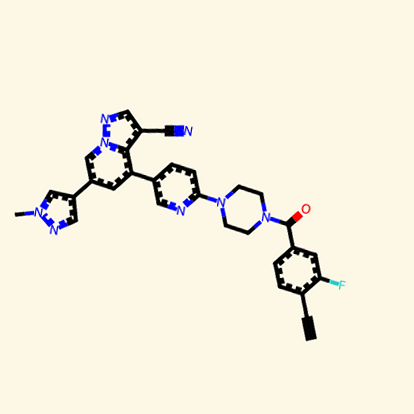 C#Cc1ccc(C(=O)N2CCN(c3ccc(-c4cc(-c5cnn(C)c5)cn5ncc(C#N)c45)cn3)CC2)cc1F